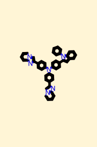 c1ccc(-n2c(-c3ccc(N(c4ccc(-c5cn6ccccc6n5)cc4)c4ccc(-c5cn6ccccc6n5)cc4)cc3)cc3ccccc32)cc1